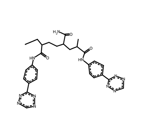 CCC(CCC(CC(C)C(=O)Nc1ccc(-c2nncnn2)cc1)C(N)=O)C(=O)Nc1ccc(-c2nncnn2)cc1